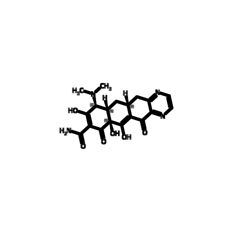 CN(C)[C@@H]1C(O)=C(C(N)=O)C(=O)[C@@]2(O)C(O)=C3C(=O)c4nccnc4C[C@H]3C[C@@H]12